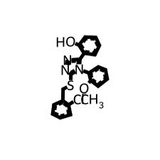 COc1ccccc1-n1c(SCc2ccccc2Cl)nnc1-c1ccccc1O